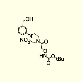 CC(C)(C)OC(=O)NOCC(=O)N1CCN(c2cc(CO)ccc2[N+](=O)[O-])CC1